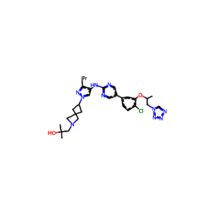 CC(Cn1cnnn1)Oc1cc(-c2cnc(Nc3cn(C4CC5(C4)CN(CC(C)(C)O)C5)nc3C(C)C)nc2)ccc1Cl